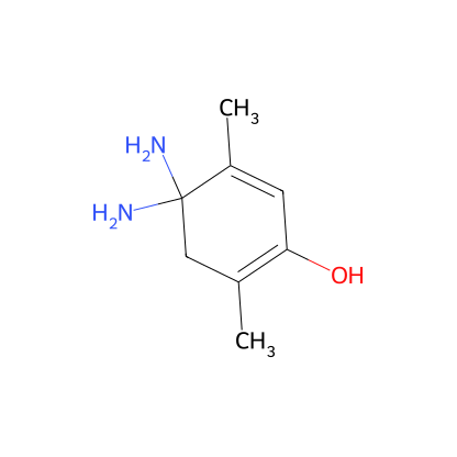 CC1=CC(O)=C(C)CC1(N)N